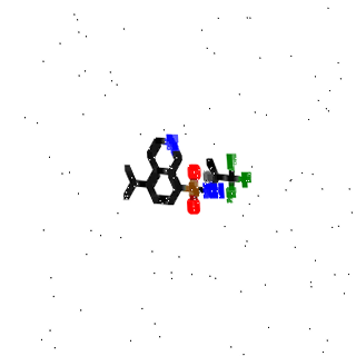 CC(C)c1ccc(S(=O)(=O)N[C@@H](C)C(F)(F)F)c2cnccc12